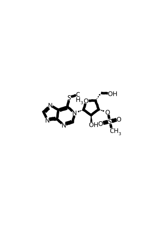 CSc1c2ncnc-2ncn1[C@@H]1O[C@H](CO)[C@H](OS(C)(=O)=O)[C@H]1O